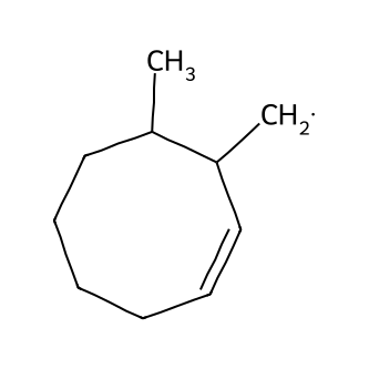 [CH2]C1C=CCCCCC1C